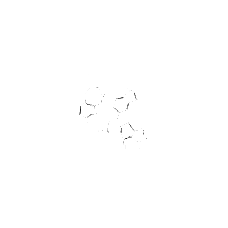 CC[C@H]1Cc2ccc(O)nc2CN(Cc2cc([C@H](CC(=O)O)c3cc(Cl)c4c(nnn4C)c3C)cc3ccsc23)C1